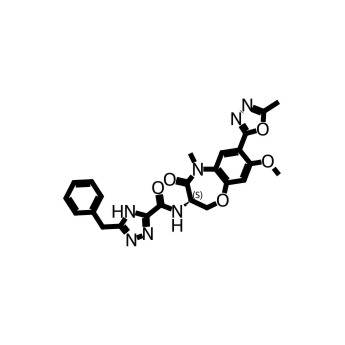 COc1cc2c(cc1-c1nnc(C)o1)N(C)C(=O)[C@@H](NC(=O)c1nnc(Cc3ccccc3)[nH]1)CO2